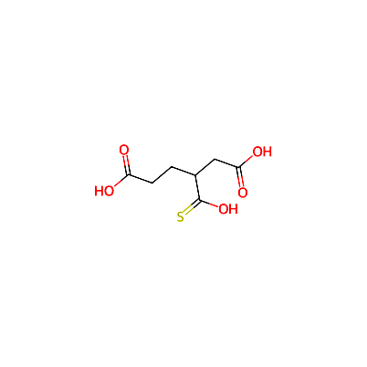 O=C(O)CCC(CC(=O)O)C(O)=S